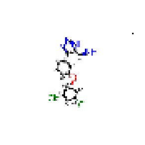 N=Cc1[nH]nnc1-c1cccc(Oc2cc(Cl)cc(Cl)c2)c1